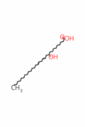 CCCCCCCCCCCCCCC=CCC=CCC(O)CCCCCCCCC(=O)O